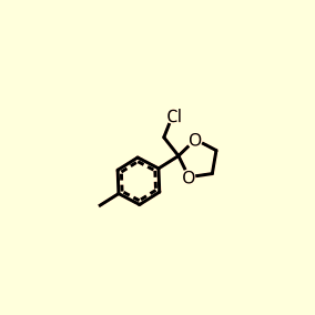 Cc1ccc(C2(CCl)OCCO2)cc1